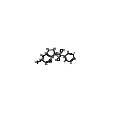 O=S(=O)(c1ccccc1)N1CCc2cc(I)cnc21